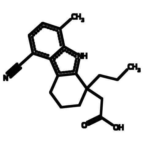 CCCC1(CC(=O)O)CCCc2c1[nH]c1c(C)ccc(C#N)c21